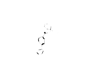 O=C(NC1(C(=O)O)CCNCC1)c1ccc(-c2ccccc2)cc1